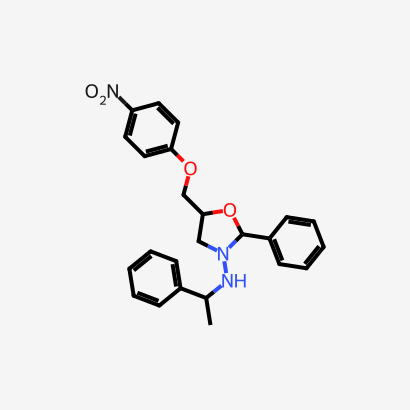 CC(NN1CC(COc2ccc([N+](=O)[O-])cc2)OC1c1ccccc1)c1ccccc1